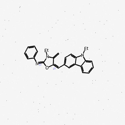 C=c1/c(=C\c2ccc3c(c2)c2ccccc2n3CC)o/c(=N/c2ccccc2)n1CC